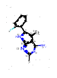 CCc1c(-c2ccccc2F)[nH]c2nc(C)nc(N)c12